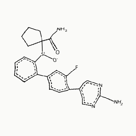 NC(=O)C1([S+]([O-])c2ccccc2-c2ccc(-c3cnc(N)nc3)c(F)c2)CCCC1